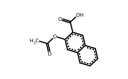 CC(=O)Oc1cc2ccccc2cc1C(=O)O